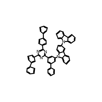 c1ccc(-c2ccc(-c3nc(-c4cccc(-c5ccccc5)c4)nc(-c4cc(-c5ccccc5)cc(-n5c6ccccc6c6cc(-n7c8ccccc8c8ccccc87)ccc65)c4)n3)cc2)cc1